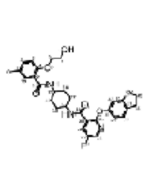 Cc1ccc(OCCO)c(C(=O)NC2CCC(NC(=O)c3cc(F)cnc3Oc3ccc4c(c3)SCC4)CC2)c1